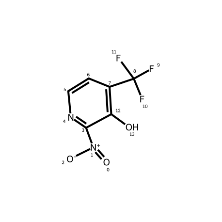 O=[N+]([O-])c1nccc(C(F)(F)F)c1O